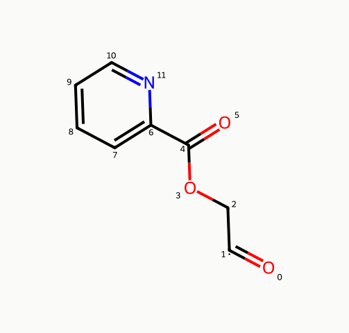 O=[C]COC(=O)c1ccccn1